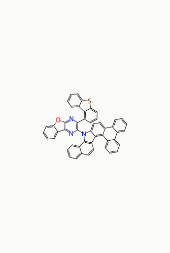 c1ccc2c(c1)ccc1c3c4c5ccccc5c5ccccc5c4ccc3n(-c3nc4c(nc3-c3cccc5sc6ccccc6c35)oc3ccccc34)c21